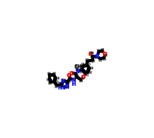 CN1C(=O)[C@@H](NC(=O)c2n[nH]c(Cc3ccccc3)n2)COc2ccc(CCC(=O)N3CCOCC3)cc21